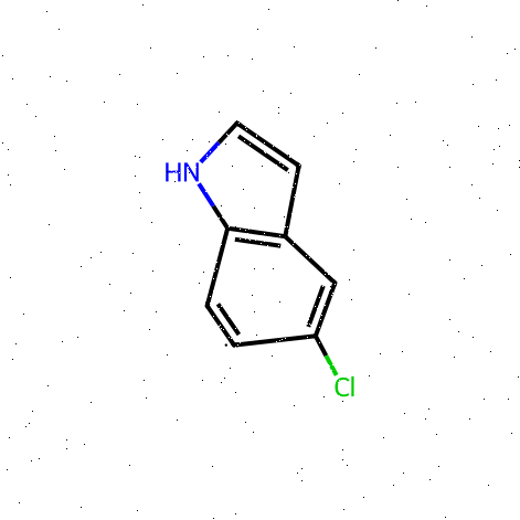 Clc1[c]cc2[nH]ccc2c1